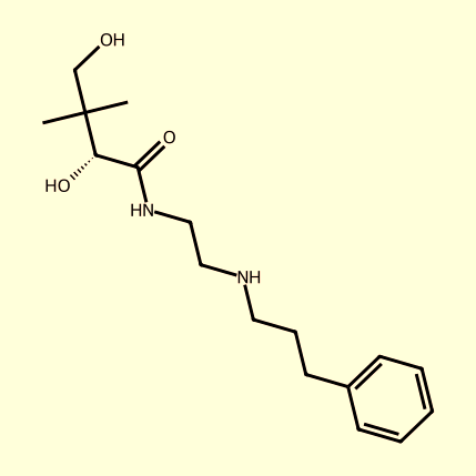 CC(C)(CO)[C@@H](O)C(=O)NCCNCCCc1ccccc1